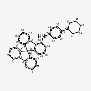 c1ccc2c(c1)-c1ccccc1C21c2ccccc2-c2c(Nc3ccc(C4CCCCC4)cc3)cccc21